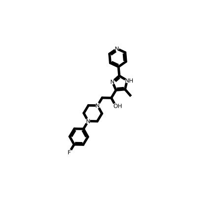 Cc1[nH]c(-c2ccncc2)nc1C(O)CN1CCN(c2ccc(F)cc2)CC1